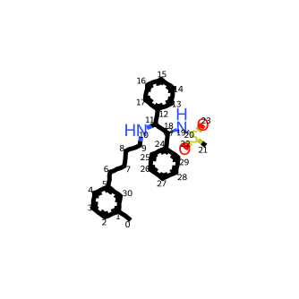 Cc1cccc(CCCCNC(c2ccccc2)[C@@H](NS(C)(=O)=O)c2ccccc2)c1